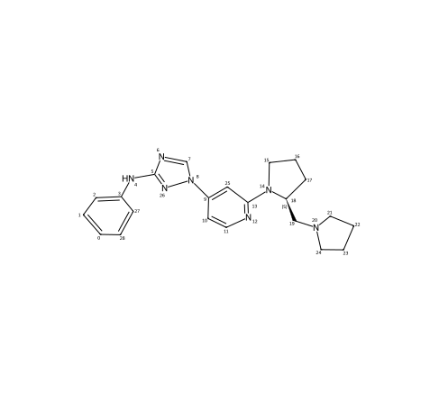 c1ccc(Nc2ncn(-c3ccnc(N4CCC[C@H]4CN4CCCC4)c3)n2)cc1